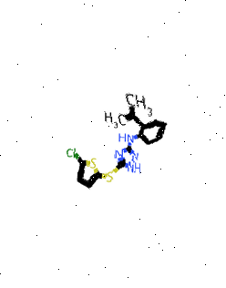 CC(C)c1ccccc1Nc1n[nH]c(Sc2ccc(Cl)s2)n1